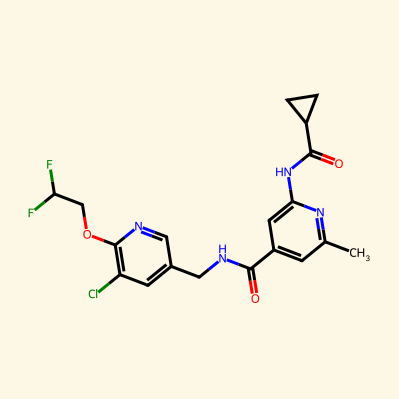 Cc1cc(C(=O)NCc2cnc(OCC(F)F)c(Cl)c2)cc(NC(=O)C2CC2)n1